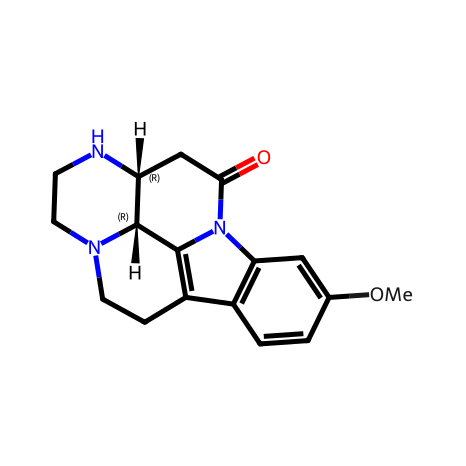 COc1ccc2c3c4n(c2c1)C(=O)C[C@H]1NCCN(CC3)[C@@H]41